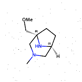 COC[C@@]12CC[C@@H](CN(C)C1)N2